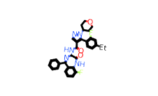 CCc1ccc(-c2c(C(=O)N[C@H]3N=C(c4ccccc4)c4cccc(F)c4NC3=O)cnn2C2CCOCC2)c(F)c1